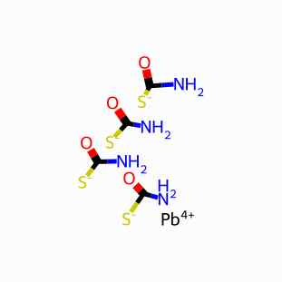 NC(=O)[S-].NC(=O)[S-].NC(=O)[S-].NC(=O)[S-].[Pb+4]